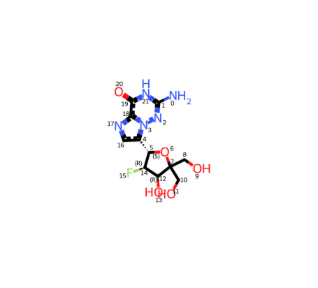 Nc1nn2c([C@@H]3OC(CO)(CO)[C@@H](O)[C@H]3F)cnc2c(=O)[nH]1